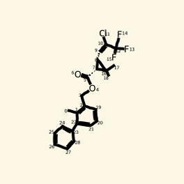 Cc1c(COC(=O)[C@@H]2[C@H](/C=C(/Cl)C(F)(F)F)C2(C)C)cccc1-c1ccccc1